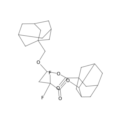 CC(OCC12CC3CC(CC(C3)C1)C2)OC(=O)C12CC3CC(C1)C(OC(=O)C(C)(F)F)C(C3)C2